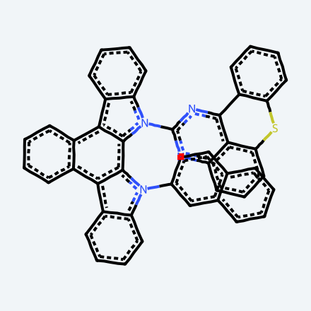 c1ccc2c(c1)Sc1cccc3nc(-n4c5ccccc5c5c6ccccc6c6c7ccccc7n(-c7ccc8ccccc8c7)c6c54)nc-2c13